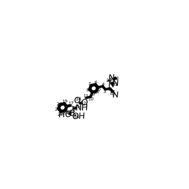 N#CC(CCc1cccc(CCOC(=O)N[C@@H](Cc2ccccc2)B(O)O)c1)n1cncn1